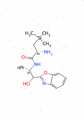 CCC[C@H](NC(=O)[C@@H](N)C[Si](C)(C)C)C(O)c1nc2ccccc2o1